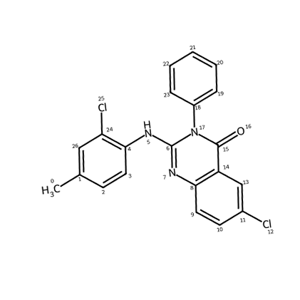 Cc1ccc(Nc2nc3ccc(Cl)cc3c(=O)n2-c2ccccc2)c(Cl)c1